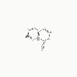 O=C1CC=Cc2ccncc21